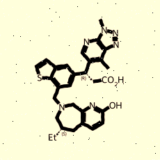 CC[C@H]1Cc2ccc(O)nc2CN(Cc2cc([C@@H](CC(=O)O)c3cnc4c(nnn4C)c3C)cc3ccsc23)C1